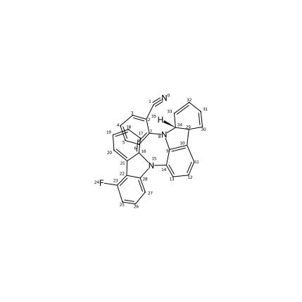 N#Cc1ccccc1N1c2c(cccc2-n2c3ccccc3c3c(F)cccc32)C2C=CC=C[C@H]21